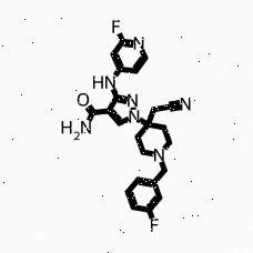 N#CCC1(n2cc(C(N)=O)c(Nc3ccnc(F)c3)n2)CCN(Cc2cccc(F)c2)CC1